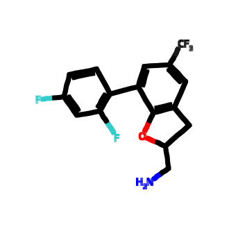 NCC1Cc2cc(C(F)(F)F)cc(-c3ccc(F)cc3F)c2O1